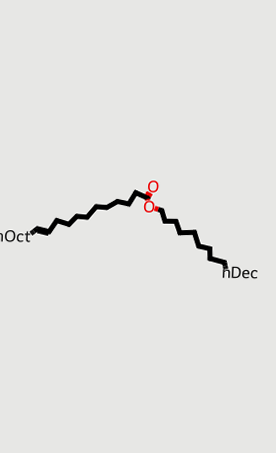 CCCCCCCCC=CCCCCCCCCCC(=O)OCCCCCCCCCCCCCCCCCCC